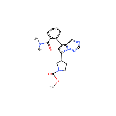 CC(C)N(C(=O)c1ccccc1-c1cc(C2CCN(C(=O)OC(C)(C)C)C2)n2ncncc12)C(C)C